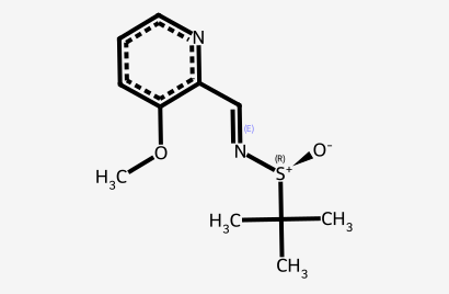 COc1cccnc1/C=N/[S@@+]([O-])C(C)(C)C